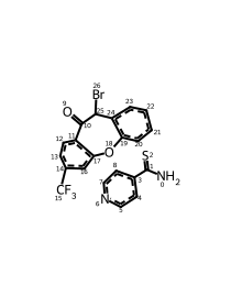 NC(=S)c1ccncc1.O=C1c2ccc(C(F)(F)F)cc2Oc2ccccc2C1Br